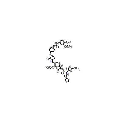 COc1cc(NC(=O)C[n+]2ccc(CN3CC/C(=C\C4=C(C(=O)[O-])N5C(=O)[C@@H](NC(=O)/C(=N\OC6CCCC6)c6csc(N)n6)[C@H]5SC4)C3=O)cc2)ccc1O